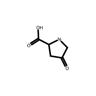 O=C1C[N]C(C(=O)O)C1